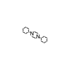 C1=CN(c2ccccc2)C=CN1c1ccccc1